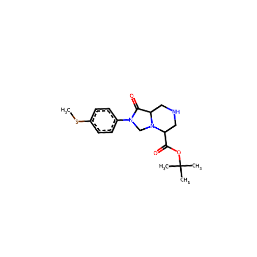 CSc1ccc(N2CN3C(C(=O)OC(C)(C)C)CNCC3C2=O)cc1